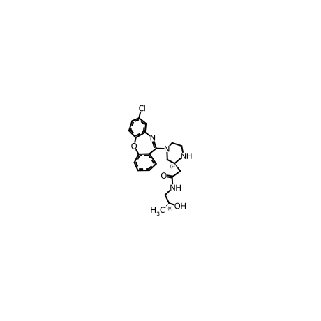 C[C@@H](O)CNC(=O)C[C@H]1CN(C2=Nc3cc(Cl)ccc3Oc3ccccc32)CCN1